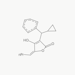 CCCC=C1OC(=O)C(C(c2ccccc2)C2CC2)=C1O